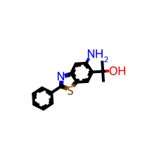 CC(C)(O)c1cc2sc(-c3ccccc3)nc2cc1N